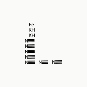 C#N.C#N.C#N.C#N.C#N.C#N.C#N.[Fe].[KH].[KH]